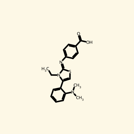 CCn1c(-c2ccccc2N(C)C)csc1=Nc1ccc(C(=O)O)cc1